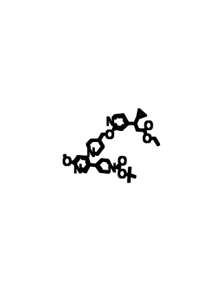 CCOC(=O)CC(c1ccnc(OCC2CCN(c3cc(OC)ncc3C3=CCN(C(=O)OC(C)(C)C)CC3)CC2)c1)C1CC1